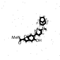 CNC(=O)c1cc2cc(O)c(-c3ccc(N(C)[C@H]4C[C@]5(C)CC[C@](C)(C4)C5)nn3)cc2o1